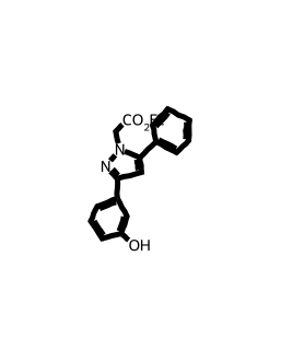 CCOC(=O)Cn1nc(-c2cccc(O)c2)cc1-c1ccccc1